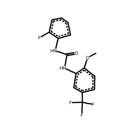 COc1ccc(C(F)(F)F)cc1NC(=O)Nc1ccccc1F